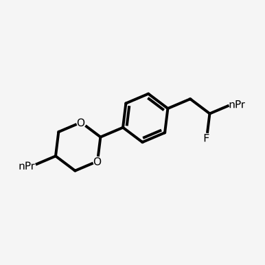 C[CH]CC(F)Cc1ccc(C2OCC(CCC)CO2)cc1